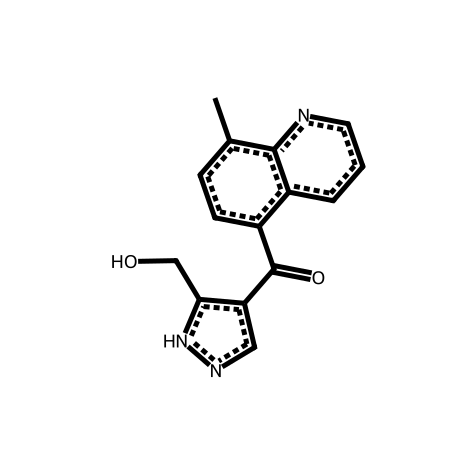 Cc1ccc(C(=O)c2cn[nH]c2CO)c2cccnc12